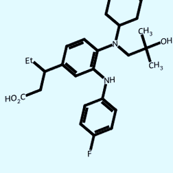 CCC(CC(=O)O)c1ccc(N(CC(C)(C)O)C2CCCCC2)c(Nc2ccc(F)cc2)c1